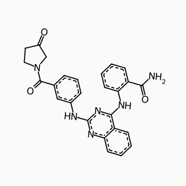 NC(=O)c1ccccc1Nc1nc(Nc2cccc(C(=O)N3CCC(=O)C3)c2)nc2ccccc12